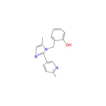 Cc1ccc(-c2ncc(C)n2Cc2ccccc2O)cn1